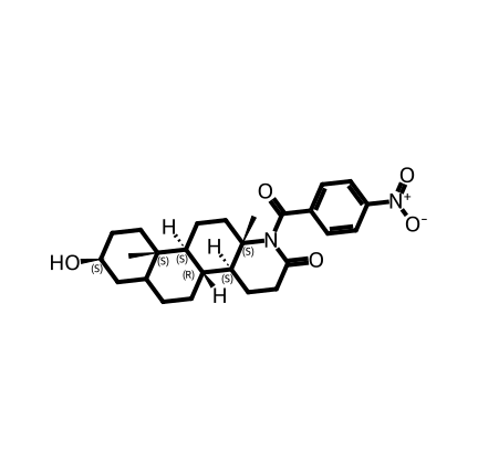 C[C@]12CC[C@H](O)CC1CC[C@@H]1[C@@H]2CC[C@@]2(C)[C@H]1CCC(=O)N2C(=O)c1ccc([N+](=O)[O-])cc1